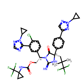 CC(C)(C[C@]1(c2ccc(-c3cnn(C4CC4)n3)cc2)NC(=N)N([C@H](COC(=O)NC2(C(F)(F)F)CC2)c2ccc(Cl)c(-c3ncnn3C3CC3)c2)C1=O)C(F)(F)F